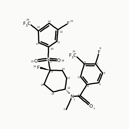 CN(C(=O)c1ccc(F)c(C(F)(F)F)c1)[C@H]1CC[C@@](F)(S(=O)(=O)c2cc(F)cc(C(F)(F)F)c2)CC1